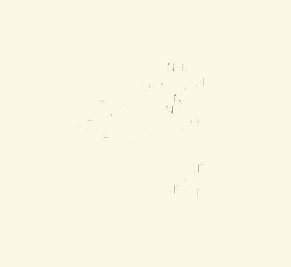 NC(=O)N1C(O)COC(c2cccc(C(F)(F)F)c2)N1c1ccc(C(F)(F)F)cc1